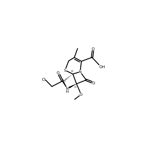 CO[C@@]1(NC(=O)CCl)C(=O)N2C(C(=O)O)=C(C)CS[C@@H]21